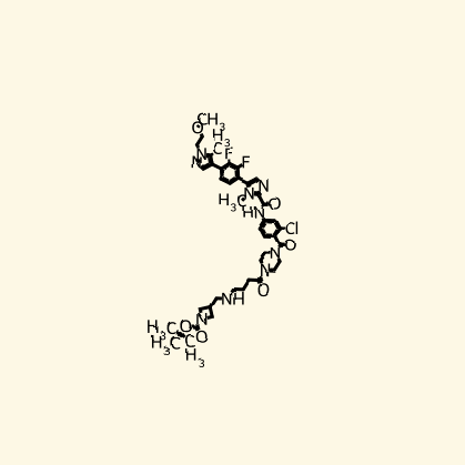 COCCn1ncc(-c2ccc(-c3cnc(C(=O)Nc4ccc(C(=O)N5CCN(C(=O)CCCNCC6CN(C(=O)OC(C)(C)C)C6)CC5)c(Cl)c4)n3C)c(F)c2F)c1C